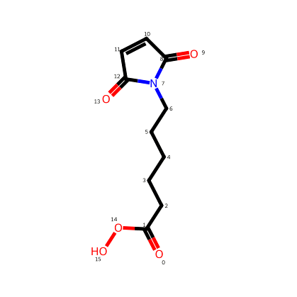 O=C(CCCCCN1C(=O)C=CC1=O)OO